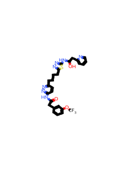 O=C(Cc1cccc(OC(F)(F)F)c1)Nc1ccc(CCCCc2nnc(NC(O)Cc3ccccn3)s2)nn1